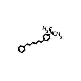 CN(C)c1ccc(C=CC=CC=Cc2ccccc2)cc1